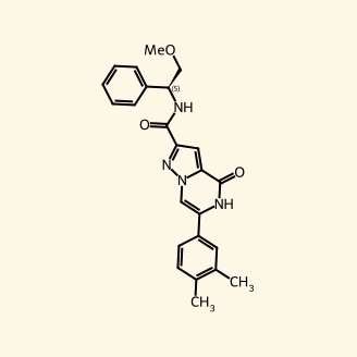 COC[C@@H](NC(=O)c1cc2c(=O)[nH]c(-c3ccc(C)c(C)c3)cn2n1)c1ccccc1